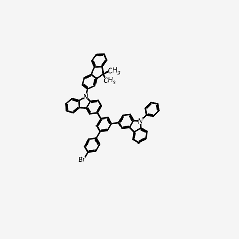 CC1(C)c2ccccc2-c2ccc(-n3c4ccccc4c4cc(-c5cc(-c6ccc(Br)cc6)cc(-c6ccc7c(c6)c6ccccc6n7-c6ccccc6)c5)ccc43)cc21